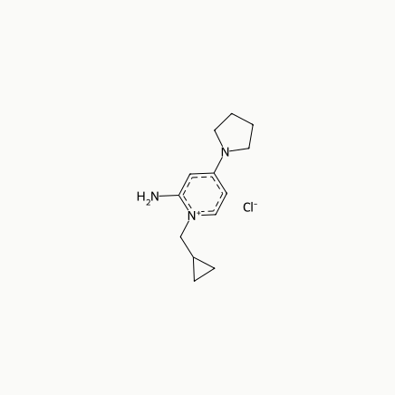 Nc1cc(N2CCCC2)cc[n+]1CC1CC1.[Cl-]